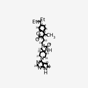 CCN(CC)c1ccc2c(C)c(CCN3CC4(CCN(c5ncnc6[nH]ncc56)CC4)NC3=O)c(=O)oc2c1